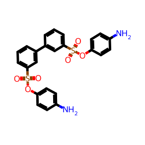 Nc1ccc(OS(=O)(=O)c2cccc(-c3cccc(S(=O)(=O)Oc4ccc(N)cc4)c3)c2)cc1